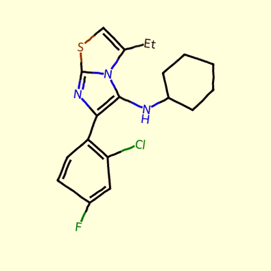 CCc1csc2nc(-c3ccc(F)cc3Cl)c(NC3CCCCC3)n12